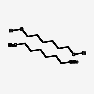 CCOCCCCCCOCC.COCCCCCCOC